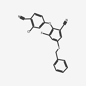 N#Cc1ccc(Oc2c(F)cc(SCc3ccccc3)cc2C#N)cc1Cl